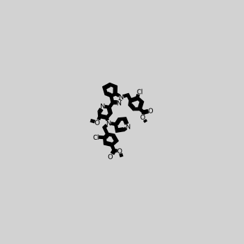 COC(=O)c1ccc(CN(c2ccncc2)c2cc(-c3nn(Cc4ccc(C(=O)OC)cc4Cl)c4ccccc34)ncc2OC)c(Cl)c1